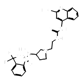 Cc1cc(NC(=O)NCCN2CCC(N(C)S(=O)(=O)c3ccccc3C(F)(F)F)C2)c2ccccc2n1